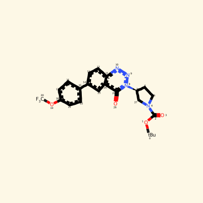 CC(C)(C)OC(=O)N1CC[C@H](n2nnc3ccc(-c4ccc(OC(F)(F)F)cc4)cc3c2=O)C1